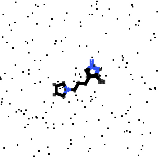 CCc1n[nH]cc1CCCN1CCCC1